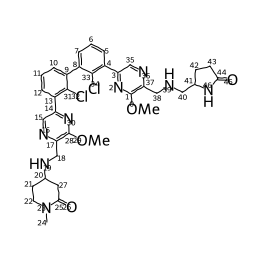 COc1nc(-c2cccc(-c3cccc(-c4cnc(CNC5CCN(C)C(=O)C5)c(OC)n4)c3Cl)c2Cl)cnc1CNCC1CCC(=O)N1